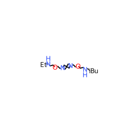 CCNCCOCCN1CC2(C1)CN(CCOCCNCC(C)CC)C2